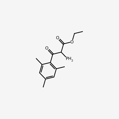 CCOC(=O)C(P)C(=O)c1c(C)cc(C)cc1C